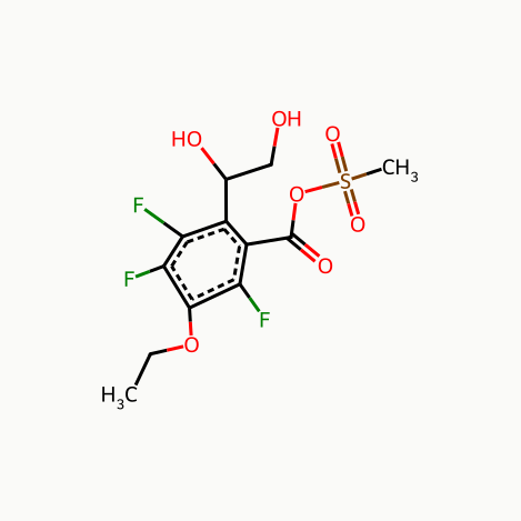 CCOc1c(F)c(F)c(C(O)CO)c(C(=O)OS(C)(=O)=O)c1F